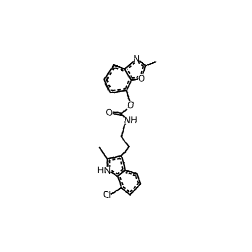 Cc1nc2cccc(OC(=O)NCCc3c(C)[nH]c4c(Cl)cccc34)c2o1